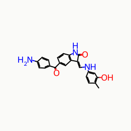 Cc1ccc(NC=C2C(=O)Nc3ccc(C(=O)c4ccc(N)cc4)cc32)cc1O